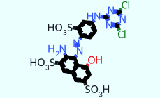 Nc1c(S(=O)(=O)O)cc2cc(S(=O)(=O)O)cc(O)c2c1/N=N/c1ccc(Nc2nc(Cl)nc(Cl)n2)cc1S(=O)(=O)O